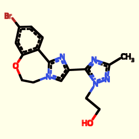 Cc1nc(-c2cn3c(n2)-c2ccc(Br)cc2OCC3)n(CCO)n1